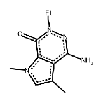 CCn1nc(N)c2c(C)cn(C)c2c1=O